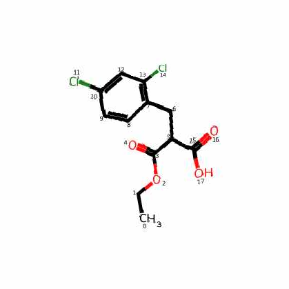 CCOC(=O)C(Cc1ccc(Cl)cc1Cl)C(=O)O